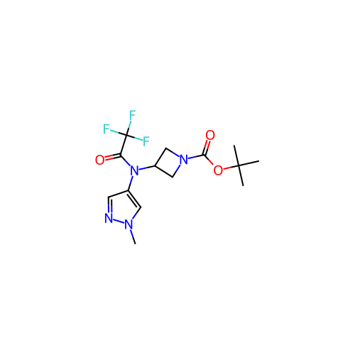 Cn1cc(N(C(=O)C(F)(F)F)C2CN(C(=O)OC(C)(C)C)C2)cn1